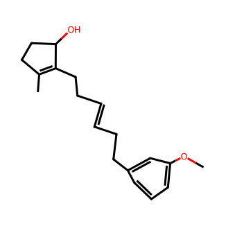 COc1cccc(CCC=CCCC2=C(C)CCC2O)c1